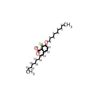 CCCCCCCCCOc1ccc2cc(CCCCCCC)oc(=O)c2c1F